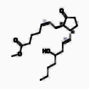 CCCCC(O)C/C=C/[C@H]1CCC(=O)[C@@H]1C/C=C\CCCC(=O)OC